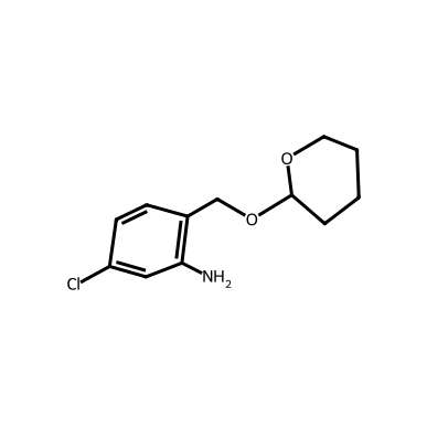 Nc1cc(Cl)ccc1COC1CCCCO1